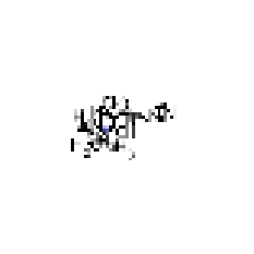 C=N/C(NC1(C)CC1)=C(\C)C(C(=O)NCCn1ccnc1)=C(C)C